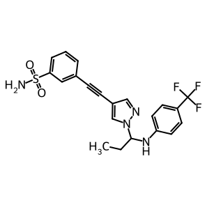 CCC(Nc1ccc(C(F)(F)F)cc1)n1cc(C#Cc2cccc(S(N)(=O)=O)c2)cn1